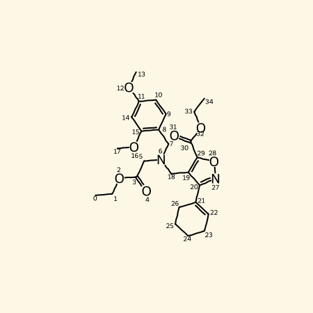 CCOC(=O)CN(Cc1ccc(OC)cc1OC)Cc1c(C2=CCCCC2)noc1C(=O)OCC